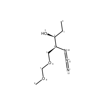 CC[C@H](O)[C@H](COCOC)N=[N+]=[N-]